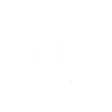 C=CCc1c(OC)c(NCC(C)C)cc2c(NCc3ccc(OC)c(Cl)c3)ncnc12